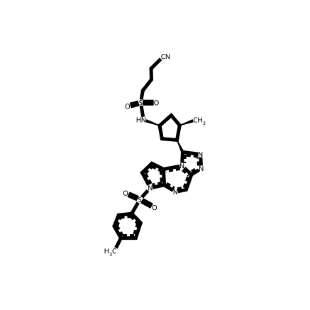 Cc1ccc(S(=O)(=O)n2ccc3c2ncc2nnc([C@H]4C[C@@H](NS(=O)(=O)CCCC#N)C[C@H]4C)n23)cc1